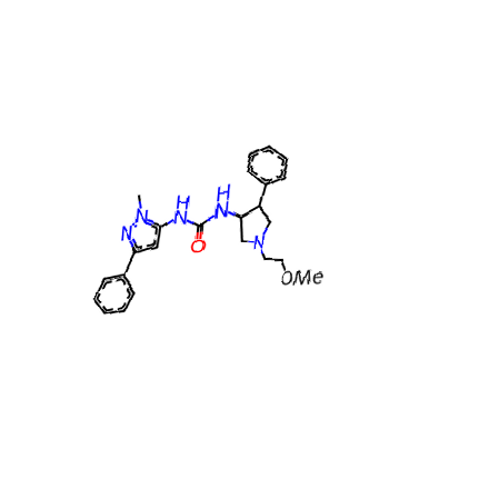 COCCN1CC(NC(=O)Nc2cc(-c3ccccc3)nn2C)C(c2ccccc2)C1